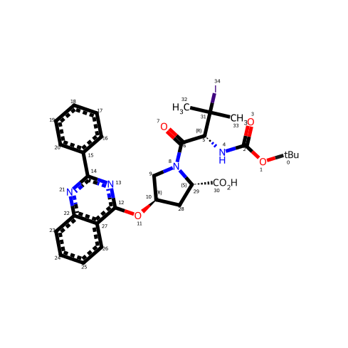 CC(C)(C)OC(=O)N[C@H](C(=O)N1C[C@H](Oc2nc(-c3ccccc3)nc3ccccc23)C[C@H]1C(=O)O)C(C)(C)I